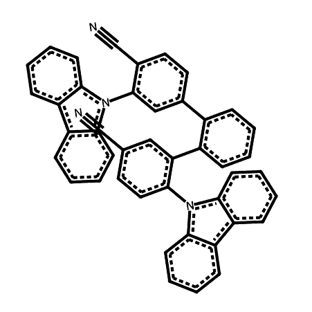 N#Cc1ccc(-n2c3ccccc3c3ccccc32)c(-c2ccccc2-c2ccc(C#N)c(-n3c4ccccc4c4ccccc43)c2)c1